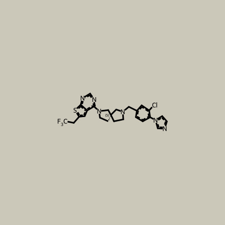 FC(F)(F)Cc1cc2c(N3CC[C@]4(CCN(Cc5ccc(-n6ccnc6)c(Cl)c5)C4)C3)ncnc2s1